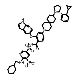 O=C(NS(=O)(=O)c1cnc(NCC2CCCCC2)c([N+](=O)[O-])c1)c1ccc(N2CCC3(CCC(N4CCC[C@@H]4c4ccccc4C4CC4)CC3)CC2)cc1Oc1cnc2[nH]ccc2c1